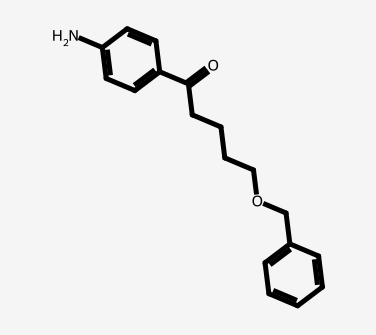 Nc1ccc(C(=O)CCCCOCc2ccccc2)cc1